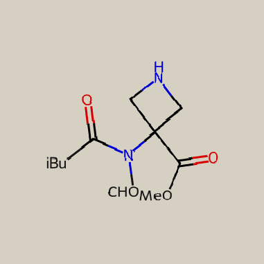 CCC(C)C(=O)N(C=O)C1(C(=O)OC)CNC1